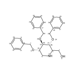 OCC1NC[C@H](OCc2ccccc2)[C@@H](OCc2ccccc2)[C@@H]1OCc1ccccc1